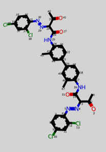 CC(=O)C(N=Nc1ccc(Cl)cc1Cl)C(=O)Nc1ccc(-c2ccc(NC(=O)C(N=Nc3ccc(Cl)cc3Cl)C(C)=O)c(C)c2)cc1C